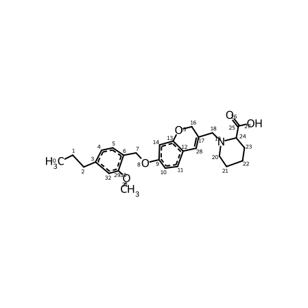 CCCc1ccc(COc2ccc3c(c2)OCC(CN2CCCCC2C(=O)O)=C3)c(OC)c1